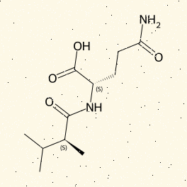 CC(C)[C@H](C)C(=O)N[C@@H](CCC(N)=O)C(=O)O